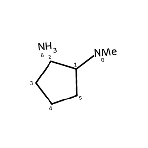 CNC1CCCC1.N